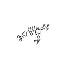 O=C(Nc1ccc([N+](=O)[O-])cc1)Nc1nc(OCC(F)(F)F)cc(OCC(F)(F)F)n1